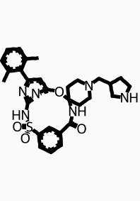 Cc1cccc(C)c1-c1cc2nc(n1)NS(=O)(=O)c1cccc(c1)C(=O)NC1(CCN(CC3CCNC3)CC1)O2